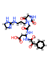 O=C(O)CC(NC(=O)C[N+]1(CCCNC2=NCCN2)C(=O)CNC1=O)NC(=O)C(=O)c1ccccc1